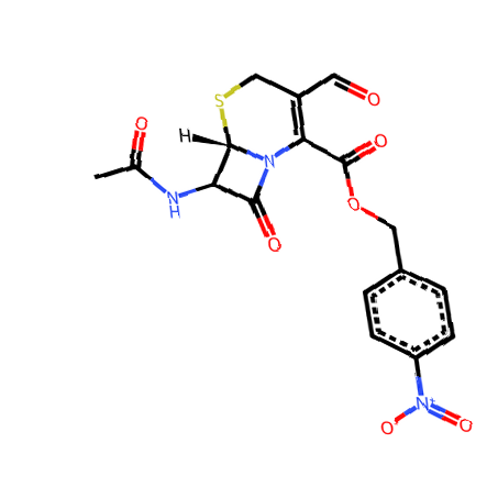 CC(=O)NC1C(=O)N2C(C(=O)OCc3ccc([N+](=O)[O-])cc3)=C(C=O)CS[C@@H]12